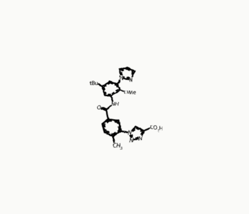 COc1c(NC(=O)c2ccc(C)c(-n3cc(C(=O)O)nn3)c2)cc(C(C)(C)C)cc1-n1cccn1